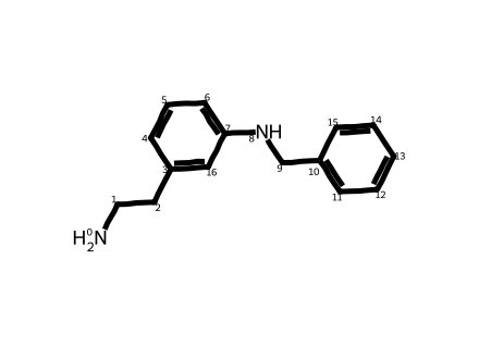 NCCc1cccc(NCc2ccccc2)c1